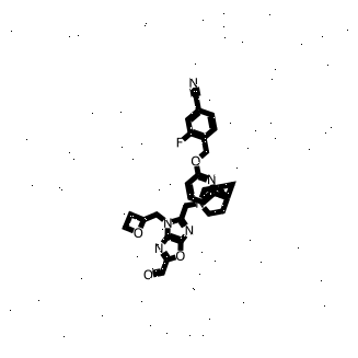 N#Cc1ccc(COc2cccc(C34CCN(Cc5nc6oc(C=O)nc6n5CC5CCO5)CC3C4)n2)c(F)c1